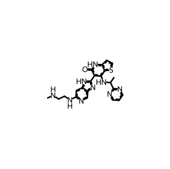 CNCCNc1cc2[nH]c(-c3c(NC(C)c4ncccn4)c4sccc4[nH]c3=O)nc2cn1